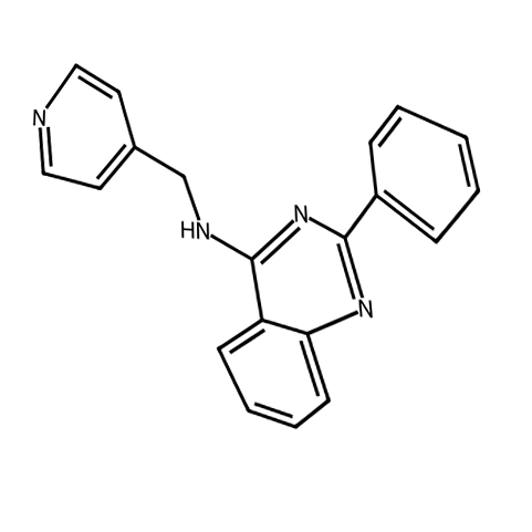 c1ccc(-c2nc(NCc3ccncc3)c3ccccc3n2)cc1